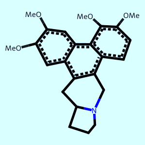 COc1cc2c3c(c4ccc(OC)c(OC)c4c2cc1OC)CN1CCCC1C3